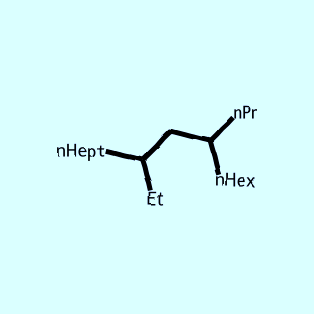 CCCCCCCC(CC)CC(CCC)CCCCCC